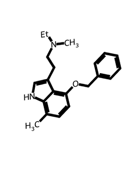 CCN(C)CCc1c[nH]c2c(C)ccc(OCc3ccccc3)c12